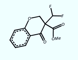 COC(=O)C1(C(F)F)COc2ccccc2C1=O